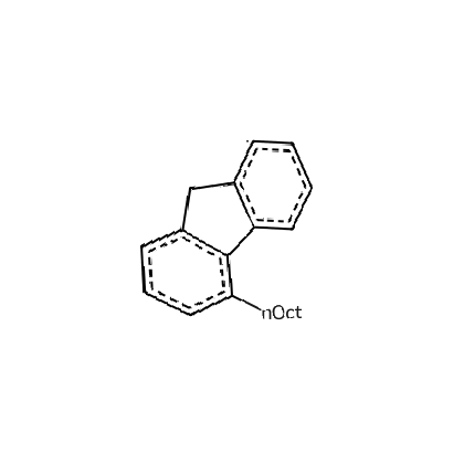 CCCCCCCCc1cccc2c1-c1ccc[c]c1C2